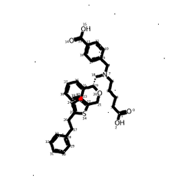 O=C(O)CCCCN(Cc1ccc(C(=O)O)cc1)C[C@H](OCc1ccc(CCc2ccccc2)s1)c1ccccc1